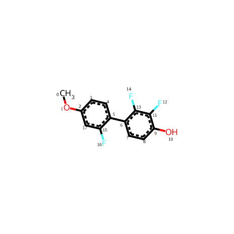 COc1ccc(-c2ccc(O)c(F)c2F)c(F)c1